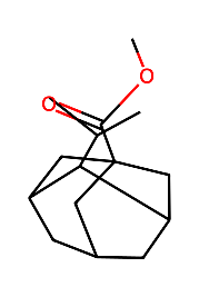 COC(=O)C12CC3CC(C1)C(C(C)C)C(C3)C2